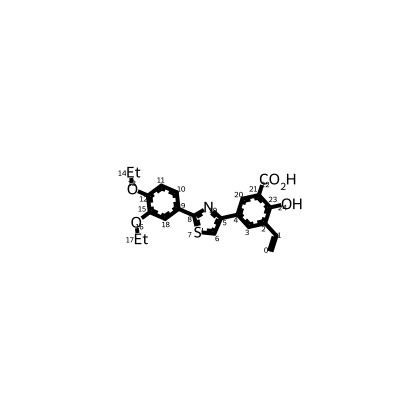 C=Cc1cc(-c2csc(-c3ccc(OCC)c(OCC)c3)n2)cc(C(=O)O)c1O